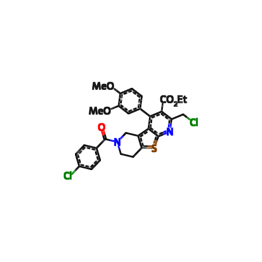 CCOC(=O)c1c(CCl)nc2sc3c(c2c1-c1ccc(OC)c(OC)c1)CN(C(=O)c1ccc(Cl)cc1)CC3